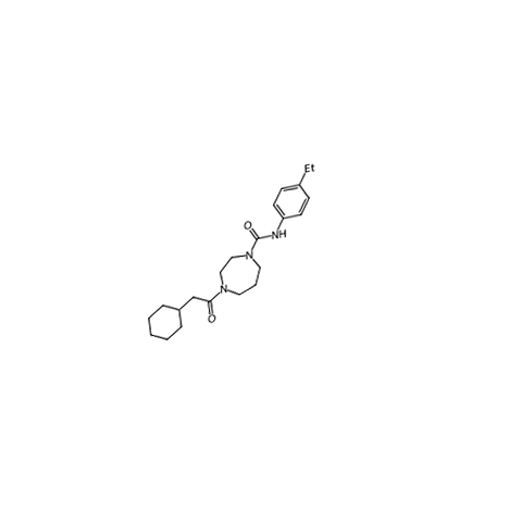 CCc1ccc(NC(=O)N2CCCN(C(=O)CC3CCCCC3)CC2)cc1